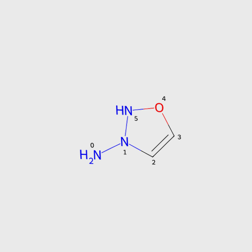 NN1C=CON1